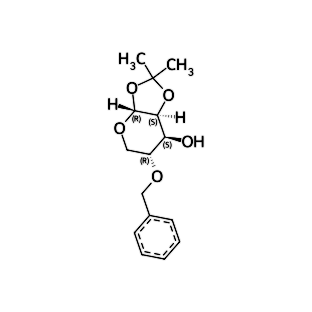 CC1(C)O[C@H]2OC[C@@H](OCc3ccccc3)[C@H](O)[C@@H]2O1